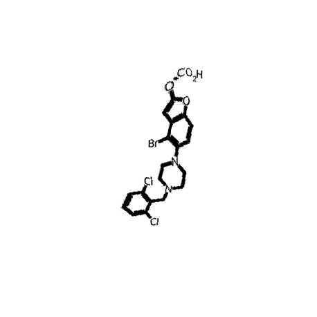 O=C(O)Oc1cc2c(Br)c(N3CCN(Cc4c(Cl)cccc4Cl)CC3)ccc2o1